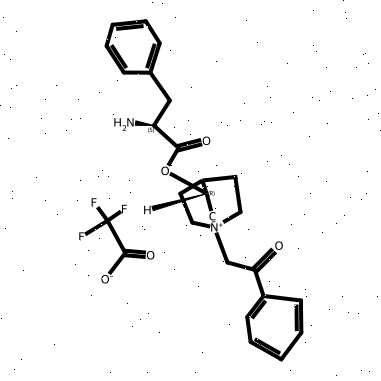 N[C@@H](Cc1ccccc1)C(=O)O[C@H]1C[N+]2(CC(=O)c3ccccc3)CCC1CC2.O=C([O-])C(F)(F)F